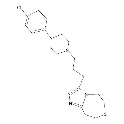 Clc1ccc(C2CCN(CCCc3nnc4n3CCSCC4)CC2)cc1